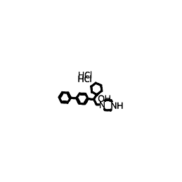 Cl.Cl.OC1(C(CN2CCNCC2)c2ccc(-c3ccccc3)cc2)CCCCC1